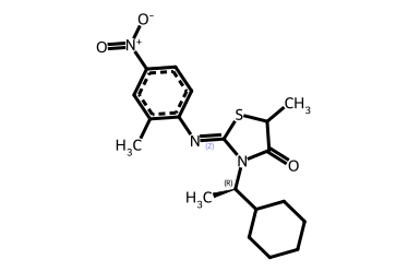 Cc1cc([N+](=O)[O-])ccc1/N=C1\SC(C)C(=O)N1[C@H](C)C1CCCCC1